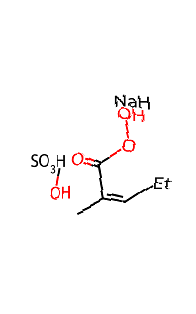 CCC=C(C)C(=O)OO.O=S(=O)(O)O.[NaH]